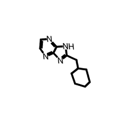 c1cnc2[nH]c(CC3CCCCC3)nc2n1